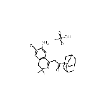 CC1(C)Cc2cc(Cl)c(N)cc2C(CC(=O)C23CC4CC(CC(C4)C2)C3)=N1.CS(=O)(=O)O